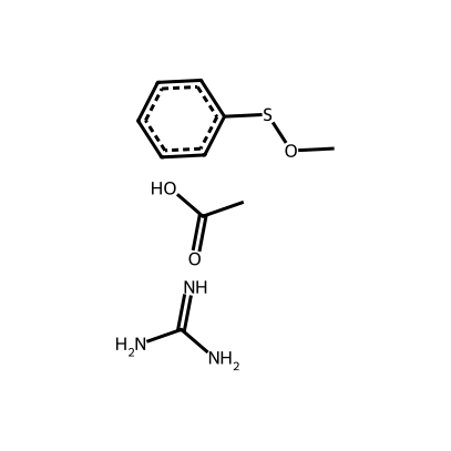 CC(=O)O.COSc1ccccc1.N=C(N)N